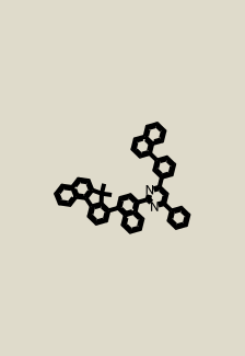 CC1(C)c2ccc3ccccc3c2-c2cccc(-c3ccc(-c4nc(-c5ccccc5)cc(-c5cccc(-c6cccc7ccccc67)c5)n4)c4ccccc34)c21